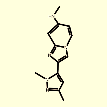 CNc1ccn2cc(-c3cc(C)nn3C)nc2c1